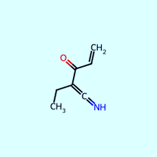 C=CC(=O)C(=C=N)CC